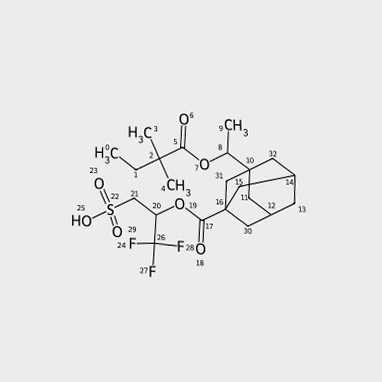 CCC(C)(C)C(=O)OC(C)C12CC3CC(CC(C(=O)OC(CS(=O)(=O)O)C(F)(F)F)(C3)C1)C2